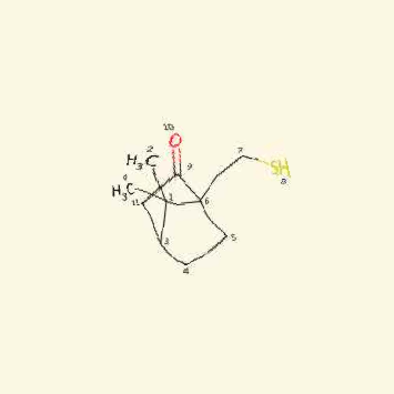 CC1(C)C2CCC1(CS)C(=O)C2